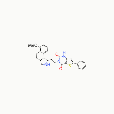 COc1cccc2c1CCC1CNC(CCn3c(=O)[nH]c4cc(-c5ccccc5)sc4c3=O)C21